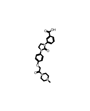 CN1CCN(C(=O)COc2ccc(N3CCN(c4cccc(C(=O)O)c4)C3=O)cc2)CC1